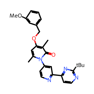 COc1cccc(COc2cc(C)n(-c3ccnc(-c4ccnc(C(C)(C)C)n4)c3)c(=O)c2C)c1